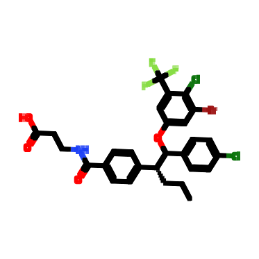 CCC[C@H](c1ccc(C(=O)NCCC(=O)O)cc1)C(Oc1cc(Br)c(Cl)c(C(F)(F)F)c1)c1ccc(Cl)cc1